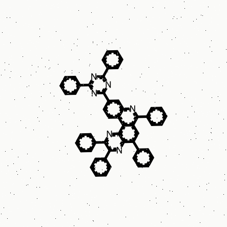 c1ccc(-c2nc(-c3ccccc3)nc(-c3ccc4c(c3)nc(-c3ccccc3)c3cc(-c5ccccc5)c5nc(-c6ccccc6)c(-c6ccccc6)nc5c34)n2)cc1